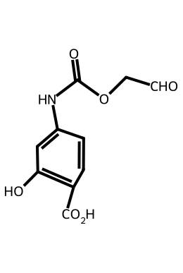 O=CCOC(=O)Nc1ccc(C(=O)O)c(O)c1